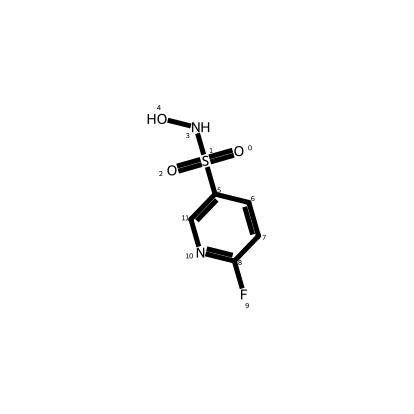 O=S(=O)(NO)c1ccc(F)nc1